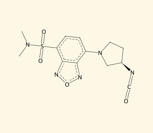 CN(C)S(=O)(=O)c1ccc(N2CC[C@@H](N=C=O)C2)c2nonc12